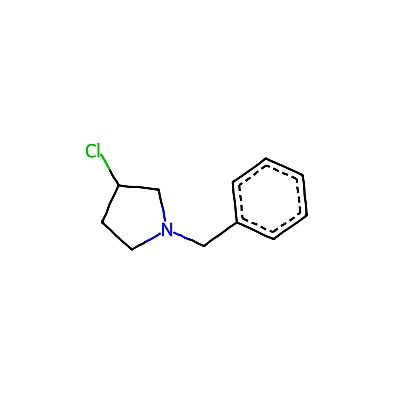 ClC1CCN(Cc2ccccc2)C1